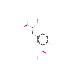 CN[C@@H](Cc1ccc(O)c(C(=O)OC)c1)C(=O)O